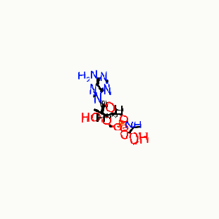 CC(NP1(=O)OCO[C@H]2[C@@H](CO1)O[C@@H](n1cnc3c(N)ncnc31)C2(C)O)C(=O)O